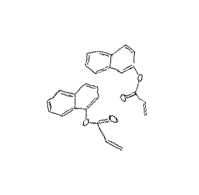 C=CC(=O)Oc1ccc2ccccc2c1.C=CC(=O)Oc1cccc2ccccc12